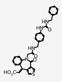 O=C(O)/C=C1/c2cscc2C(=O)N(CC(=O)NCc2ccc(NC(=O)NCc3ccccc3)cc2)c2ccccc21